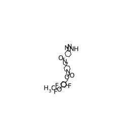 CC(F)(F)Oc1ccc(COC(=O)N2CCC3(CC2)CN(C(=O)[C@H]2CCc4[nH]nnc4C2)C3)c(F)c1